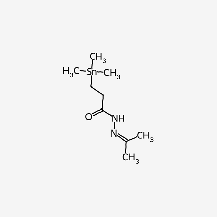 CC(C)=NNC(=O)C[CH2][Sn]([CH3])([CH3])[CH3]